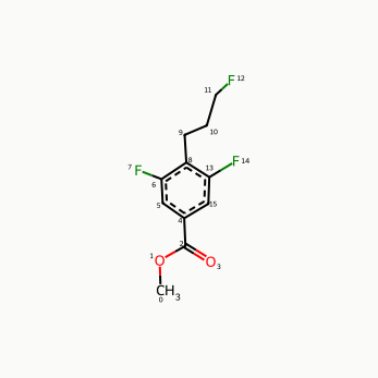 COC(=O)c1cc(F)c(CCCF)c(F)c1